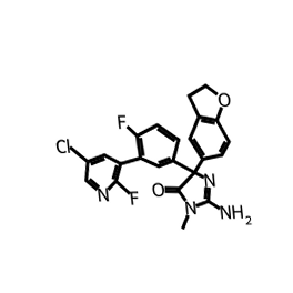 CN1C(=O)C(c2ccc3c(c2)CCO3)(c2ccc(F)c(-c3cc(Cl)cnc3F)c2)N=C1N